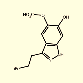 CC(C)CCc1n[nH]c2cc(O)c(OC(=O)O)cc12